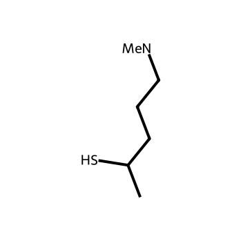 CNCCCC(C)S